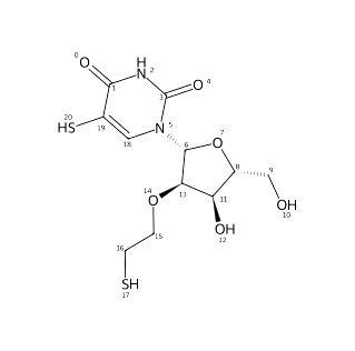 O=c1[nH]c(=O)n([C@@H]2O[C@H](CO)[C@@H](O)[C@H]2OCCS)cc1S